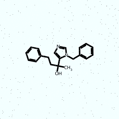 CC(O)(CCc1ccccc1)c1cncn1Cc1ccccc1